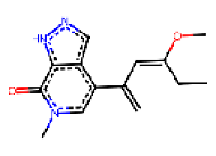 C=C(/C=C(\CC)OC)c1cn(C)c(=O)c2[nH]ncc12